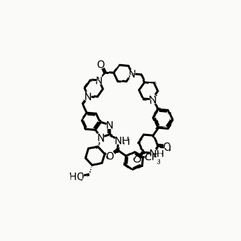 O=C1CCC(c2cccc(N3CCC(CN4CCC(C(=O)N5CCN(Cc6ccc7c(c6)nc(NC(=O)c6cccc(C(F)(F)F)c6)n7[C@H]6CC[C@@H](CO)CC6)CC5)CC4)CC3)c2)C(=O)N1